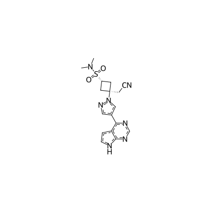 CN(C)S(=O)(=O)[C@H]1C[C@](CC#N)(n2cc(-c3ncnc4[nH]ccc34)cn2)C1